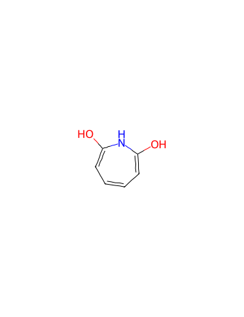 OC1=CC=CC=C(O)N1